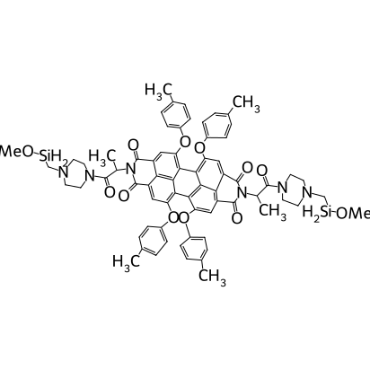 CO[SiH2]CN1CCN(C(=O)C(C)N2C(=O)c3cc(Oc4ccc(C)cc4)c4c5c(Oc6ccc(C)cc6)cc6c7c(cc(Oc8ccc(C)cc8)c(c8c(Oc9ccc(C)cc9)cc(c3c48)C2=O)c75)C(=O)N(C(C)C(=O)N2CCN(C[SiH2]OC)CC2)C6=O)CC1